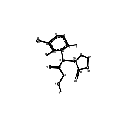 COCC(=O)N(c1c(C)ccc(Cl)c1C)N1CCOC1=O